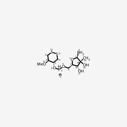 B[C@@H]1O[C@H](CO[PH](=O)O[C@H]2CSSC[C@@H]2OC)[C@@H](O)[C@@]1(C)O